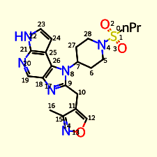 CCCS(=O)(=O)N1CCC(n2c(Cc3conc3C)nc3cnc4[nH]ccc4c32)CC1